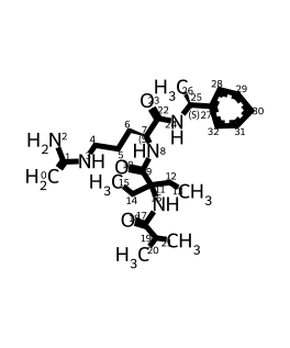 C=C(N)NCCC[C@H](NC(=O)C(CC)(CC)NC(=O)C(C)C)C(=O)N[C@@H](C)c1ccccc1